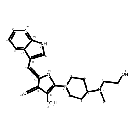 CN(CCO)C1CCN(C2=C(C(=O)O)C(=O)/C(=C/c3c[nH]c4ncccc34)O2)CC1